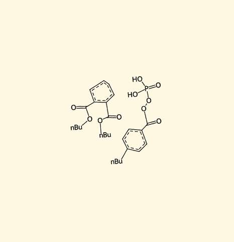 CCCCOC(=O)c1ccccc1C(=O)OCCCC.CCCCc1ccc(C(=O)OOP(=O)(O)O)cc1